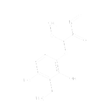 CCc1c(O)ccc(OC(OC)C(=O)N=O)c1O